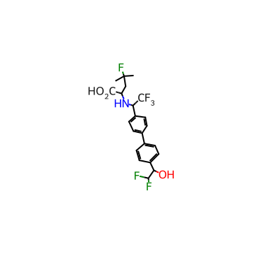 CC(C)(F)CC(NC(c1ccc(-c2ccc(C(O)C(F)F)cc2)cc1)C(F)(F)F)C(=O)O